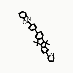 CC1(C)C2=C(c3ccc(-c4ccc(-c5nc6ccccc6o5)cc4)cc31)C(C)(C)c1cc(-c3ccccn3)ccc12